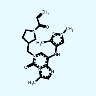 C=CC(=O)N1CCC(Cn2cc(Nc3cn(C)nc3C)c3ncc(C)n3c2=O)C1